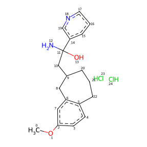 COc1ccc2c(c1)CC(CC(N)(O)c1cccnc1)CCC2.Cl.Cl